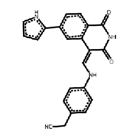 N#CCc1ccc(N/C=C2\C(=O)NC(=O)c3ccc(-c4ccc[nH]4)cc32)cc1